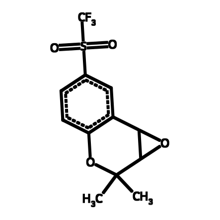 CC1(C)Oc2ccc(S(=O)(=O)C(F)(F)F)cc2C2OC21